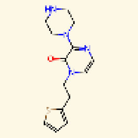 O=c1c(N2CCNCC2)nccn1CCc1cccs1